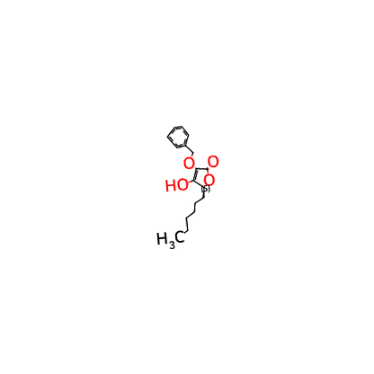 CCCCCC[C@@H]1OC(=O)C(OCc2ccccc2)=C1O